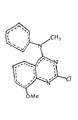 COc1cccc2c(N(C)c3ccccc3)nc(Cl)nc12